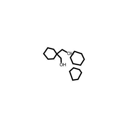 C1CCCCC1.C1CCCCC1.OCC1(CO)CCCCC1